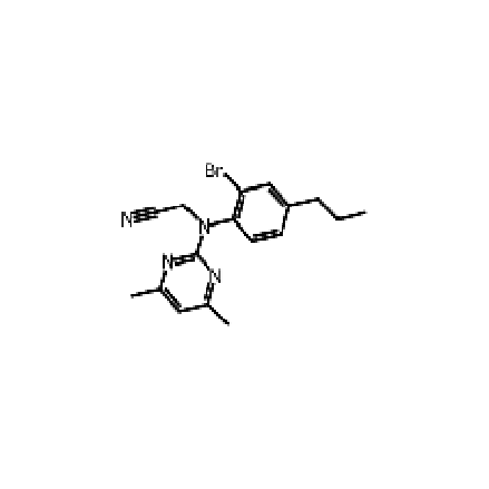 CCCc1ccc(N(CC#N)c2nc(C)cc(C)n2)c(Br)c1